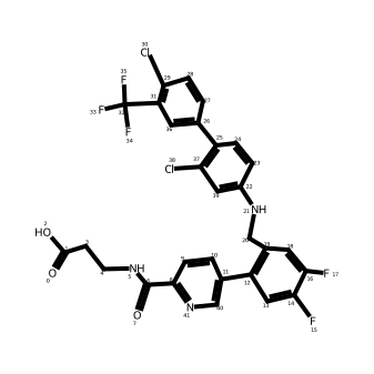 O=C(O)CCNC(=O)c1ccc(-c2cc(F)c(F)cc2CNc2ccc(-c3ccc(Cl)c(C(F)(F)F)c3)c(Cl)c2)cn1